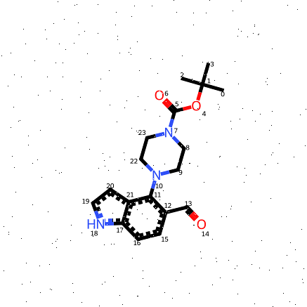 CC(C)(C)OC(=O)N1CCN(c2c(C=O)ccc3[nH]ccc23)CC1